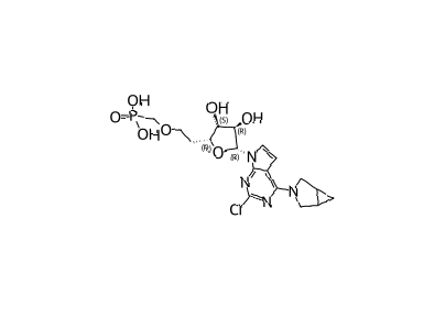 O=P(O)(O)COCC[C@H]1O[C@@H](n2ccc3c(N4CC5CC5C4)nc(Cl)nc32)[C@H](O)[C@@H]1O